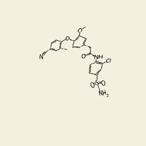 COc1cc(CC(=O)Nc2ccc(S(N)(=O)=O)cc2Cl)ccc1Oc1ccc(C#N)cc1C